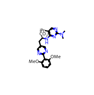 COc1cccc(OC)c1-c1ncc(C[C@H](Nc2nc(N(C)C)ncc2C(C)C)C(=O)O)cn1